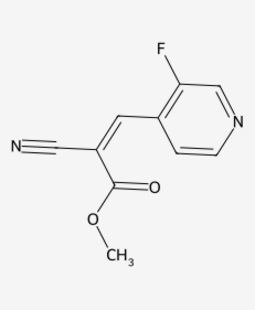 COC(=O)/C(C#N)=C\c1ccncc1F